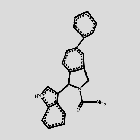 NC(=O)N1Cc2cc(-c3ccccc3)ccc2C1c1c[nH]c2ccccc12